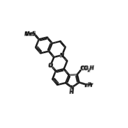 CCCc1[nH]c2ccc3c(c2c1C(=O)O)CN1CCc2cc(SC)ccc2C1O3